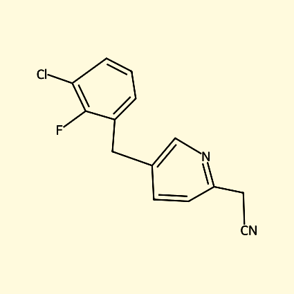 N#CCc1ccc(Cc2cccc(Cl)c2F)cn1